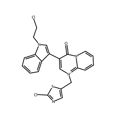 O=c1c(-c2cn(CCCl)c3ccccc23)c[n+](Cc2cnc(Cl)s2)c2ccccn12